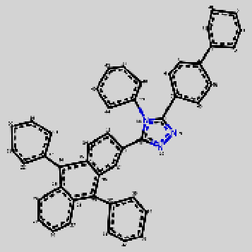 c1ccc(-c2ccc(-c3nnc(-c4ccc5c(-c6ccccc6)c6ccccc6c(-c6ccccc6)c5c4)n3-c3ccccc3)cc2)cc1